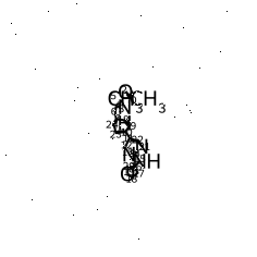 CC(=O)NC(C)Cc1ccc(-c2cnc(NC3CCOC3)nc2)cc1